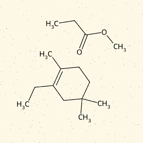 CCC(=O)OC.CCC1=C(C)CCC(C)(C)C1